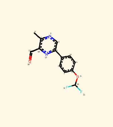 Cc1ncc(-c2ccc(OC(F)F)cc2)nc1C=O